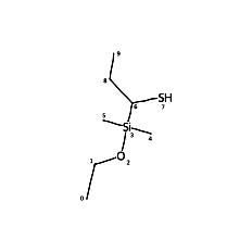 CCO[Si](C)(C)C(S)CC